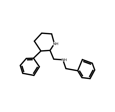 c1ccc(CNCC2NCCCC2c2ccccc2)cc1